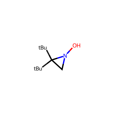 CC(C)(C)C1(C(C)(C)C)CN1O